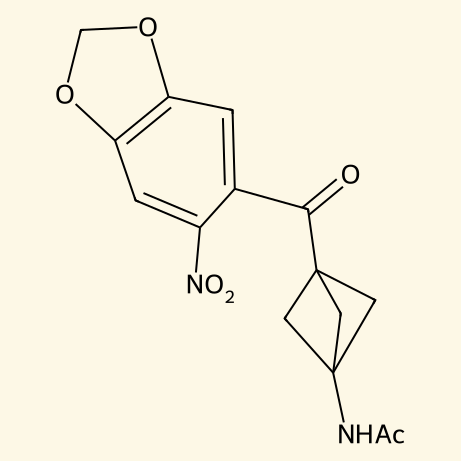 CC(=O)NC12CC(C(=O)c3cc4c(cc3[N+](=O)[O-])OCO4)(C1)C2